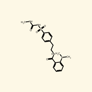 CNC(=O)NS(=O)(=O)c1ccc(CCNC(=O)c2ccccc2N(C)C)cc1